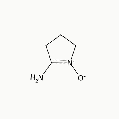 NC1=[N+]([O-])CCC1